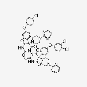 O=C1NC(=O)C(c2ccc(Oc3ccc(Cl)cc3)cc2)(N2CCN(c3ncccn3)CC2)C(=O)N1N1C(=O)NC(=O)C(c2ccc(Oc3ccc(Cl)c(Cl)c3)cc2)(N2CCN(c3ncccn3)CC2)C1=O